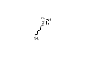 CCP(=O)(S)OCCCCCCN